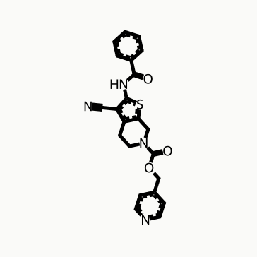 N#Cc1c(NC(=O)c2ccccc2)sc2c1CCN(C(=O)OCc1ccncc1)C2